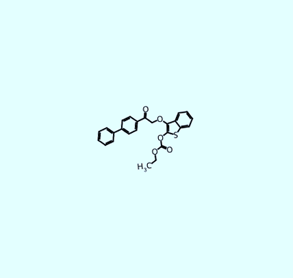 CCOC(=O)Oc1sc2ccccc2c1OCC(=O)c1ccc(-c2ccccc2)cc1